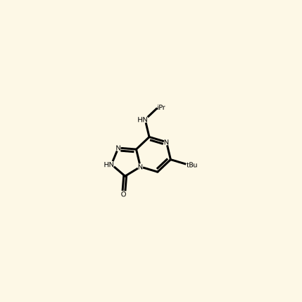 CC(C)Nc1nc(C(C)(C)C)cn2c(=O)[nH]nc12